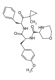 COc1ccc(C[C@H](NC(=O)[C@@H]2COCCN2)C(=O)N[C@@H](Cc2ccccc2)C(=O)C2(C)CC2)cc1